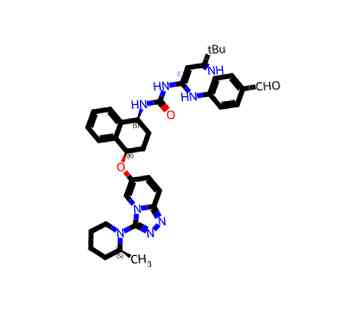 C[C@H]1CCCCN1c1nnc2ccc(O[C@@H]3CC[C@H](NC(=O)N/C(=C/C(=N)C(C)(C)C)Nc4ccc(C=O)cc4)c4ccccc43)cn12